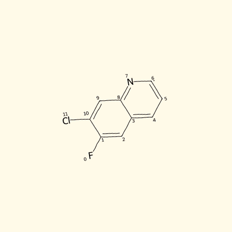 Fc1cc2cc[c]nc2cc1Cl